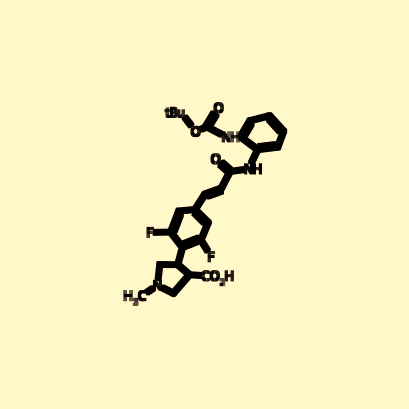 CN1CC(C(=O)O)C(c2c(F)cc(/C=C/C(=O)Nc3ccccc3NC(=O)OC(C)(C)C)cc2F)C1